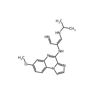 COc1ccc2c(c1)nc(N/C(C=N)=C/NC(C)C)c1nccn12